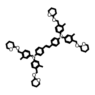 Cc1cc(N(c2ccc(C=Cc3ccc(N(c4ccc(COC5CCCCO5)c(C)c4)c4ccc(COC5CCCCO5)c(C)c4)cc3)cc2)c2ccc(COC3CCCCO3)c(C)c2)ccc1COC1CCCCO1